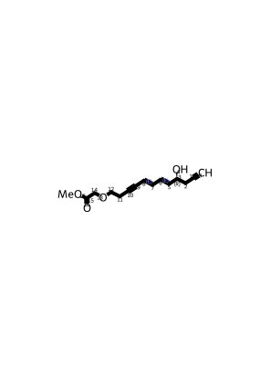 C#CC[C@@H](O)/C=C/C=C/C#CCCOCC(=O)OC